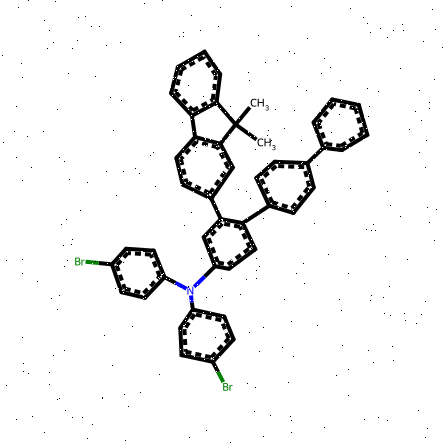 CC1(C)c2ccccc2-c2ccc(-c3cc(N(c4ccc(Br)cc4)c4ccc(Br)cc4)ccc3-c3ccc(-c4ccccc4)cc3)cc21